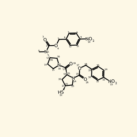 CN(C(=O)OCc1ccc([N+](=O)[O-])cc1)[C@H]1CCN(C(=O)[C@@H]2C[C@H](S)CN2C(=O)OCc2ccc([N+](=O)[O-])cc2)C1